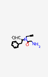 C#CCN(C(=O)CN)[C@H]([C]=O)Cc1ccccc1